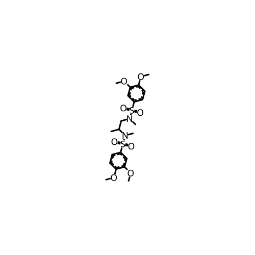 COc1ccc(S(=O)(=O)N(C)CC(C)N(C)S(=O)(=O)c2ccc(OC)c(OC)c2)cc1OC